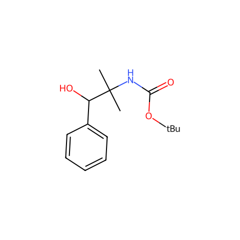 CC(C)(C)OC(=O)NC(C)(C)C(O)c1ccccc1